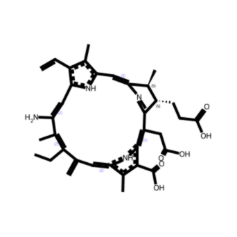 C=Cc1c2[nH]c(c1C)/C=C1N=C(/C(CC(=O)O)=c3\[nH]/c(c(C)c3C(=O)O)=C\C(=C)/C(CC)=C(C)\C(N)=C\2)[C@@H](CCC(=O)O)[C@@H]\1C